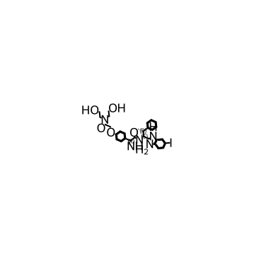 C[C@H](c1ccccc1)[C@H](NC(=O)[C@H](N)c1ccc(OCC(=O)N(CCO)CCO)cc1)c1nc2ccc(I)cc2[nH]1